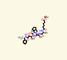 CCCC(NC(=O)[C@@H]1[C@H]2CCCC2CN1C(=O)C(NC(=O)[C@@H](NC(=O)CCCCC(=O)OC(C)(C)C)C(C)C)C(C)C)C(=O)C(=O)N[C@@H](C)c1ccccc1